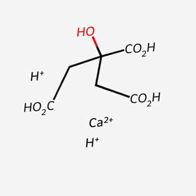 O=C(O)CC(O)(CC(=O)O)C(=O)O.[Ca+2].[H+].[H+]